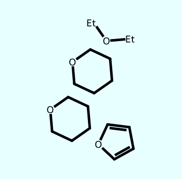 C1CCOCC1.C1CCOCC1.CCOCC.c1ccoc1